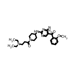 CCN(CC)CCC(=O)N1CCC(Nc2ncc(C(=O)c3ccccc3OC)c(N)n2)CC1